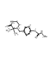 CC(C)(C)NC(=O)Oc1ccc(CN2CCNC(=O)C2(C)C)cn1